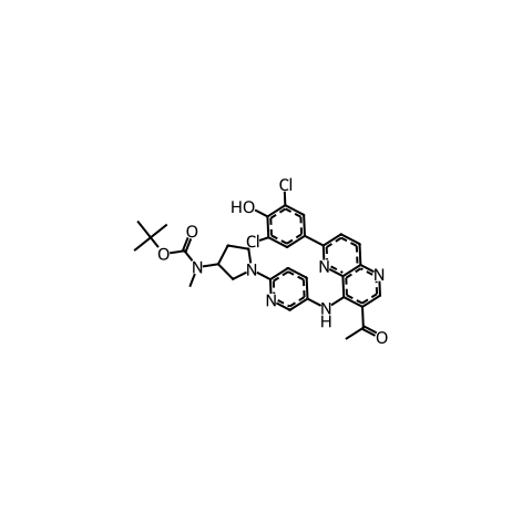 CC(=O)c1cnc2ccc(-c3cc(Cl)c(O)c(Cl)c3)nc2c1Nc1ccc(N2CCC(N(C)C(=O)OC(C)(C)C)C2)nc1